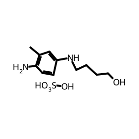 Cc1cc(NCCCCO)ccc1N.O=S(=O)(O)O